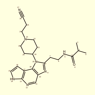 CC(C)C(=O)NCCc1nc2cnc3[nH]ccc3c2n1C1CCN(CCC#N)CC1